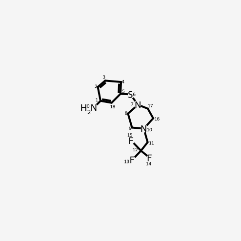 Nc1cccc(SN2CCN(CC(F)(F)F)CC2)c1